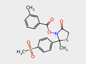 Cc1cccc(C(=O)ON2C(=O)CSC2(C)c2ccc(S(C)(=O)=O)cc2)c1